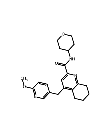 COc1ccc(Cc2cc(C(=O)NC3CCOCC3)nc3c2CCCC3)cn1